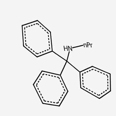 [CH2]CCNC(c1ccccc1)(c1ccccc1)c1ccccc1